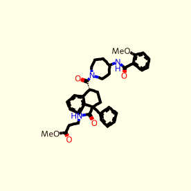 COC(=O)CCNC(=O)C1(c2ccccc2)CC[C@@H](C(=O)N2CCCC(NC(=O)c3ccccc3OC)CC2)c2ccccc21